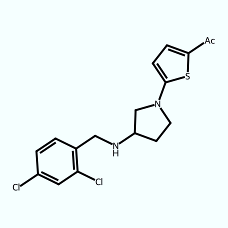 CC(=O)c1ccc(N2CCC(NCc3ccc(Cl)cc3Cl)C2)s1